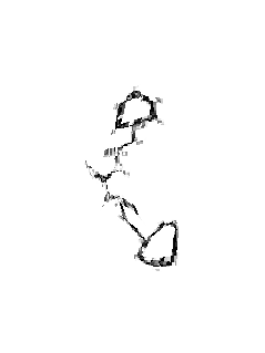 O=C(ONCc1ccccc1)ONCc1ccccc1